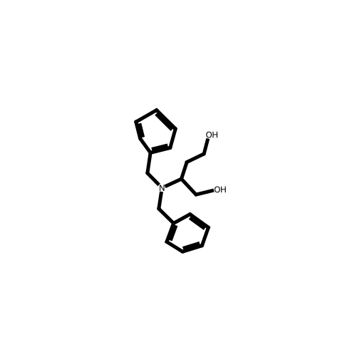 OCCC(CO)N(Cc1ccccc1)Cc1ccccc1